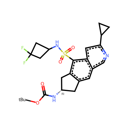 CC(C)(C)OC(=O)N[C@H]1Cc2cc3cnc(C4CC4)cc3c(S(=O)(=O)NC3CC(F)(F)C3)c2C1